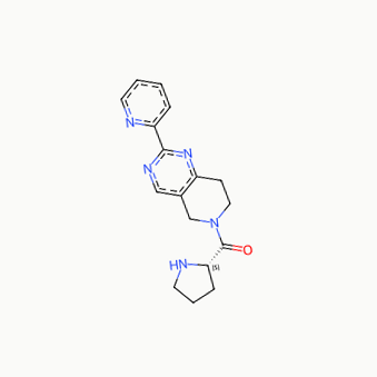 O=C([C@@H]1CCCN1)N1CCc2nc(-c3ccccn3)ncc2C1